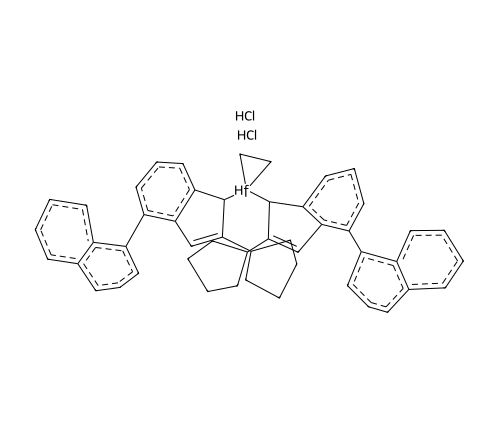 C1=C(C2CCCC2)[CH]([Hf]2([CH]3C(C4CCCC4)=Cc4c(-c5cccc6ccccc56)cccc43)[CH2][CH2]2)c2cccc(-c3cccc4ccccc34)c21.Cl.Cl